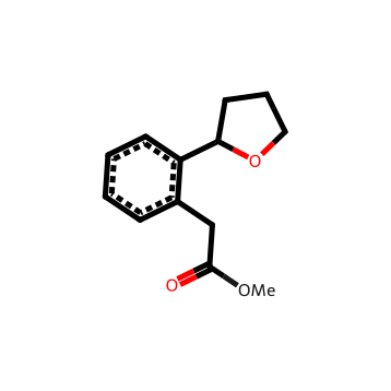 COC(=O)Cc1ccccc1C1CCCO1